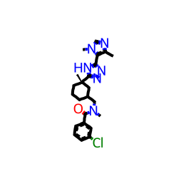 Cc1ncn(C)c1-c1nnc([C@@]2(C)CCCC(CN(C)C(=O)c3cccc(Cl)c3)C2)[nH]1